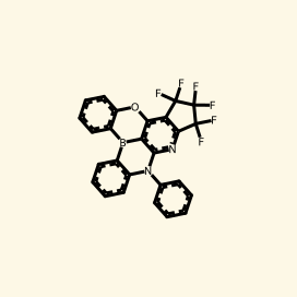 FC1(F)c2nc3c4c(c2C(F)(F)C1(F)F)Oc1ccccc1B4c1ccccc1N3c1ccccc1